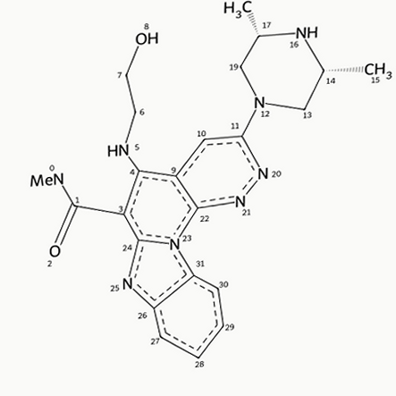 CNC(=O)c1c(NCCO)c2cc(N3C[C@@H](C)N[C@@H](C)C3)nnc2n2c1nc1ccccc12